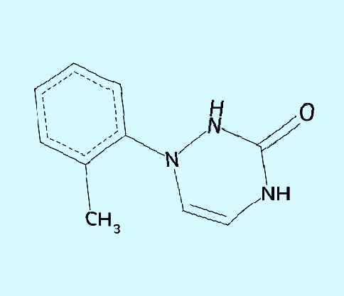 Cc1ccccc1N1C=CNC(=O)N1